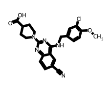 COc1ccc(CNc2nc(N3CCC(C(=O)O)CC3)nc3ccc(C#N)cc23)cc1Cl